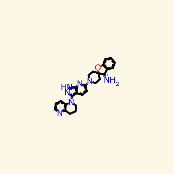 N[C@@H]1c2ccccc2OC12CCN(c1ccc3c(N4CCCc5ncccc54)n[nH]c3n1)CC2